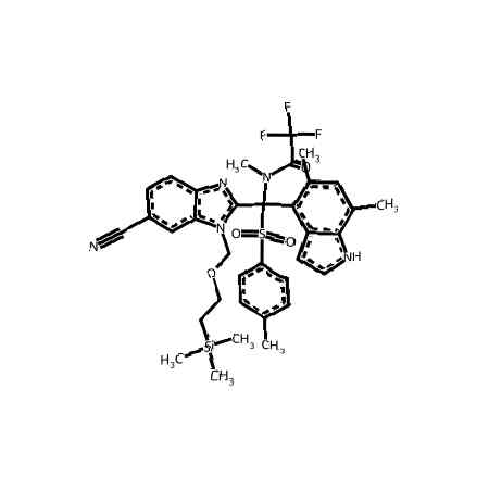 Cc1ccc(S(=O)(=O)C(c2c(C)cc(C)c3[nH]ccc23)(c2nc3ccc(C#N)cc3n2COCC[Si](C)(C)C)N(C)C(=O)C(F)(F)F)cc1